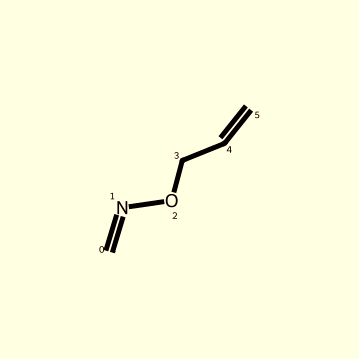 [CH]=NOCC=C